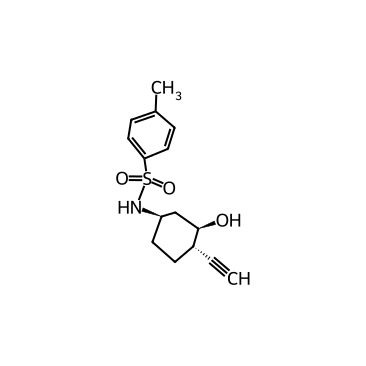 C#C[C@@H]1CC[C@@H](NS(=O)(=O)c2ccc(C)cc2)C[C@H]1O